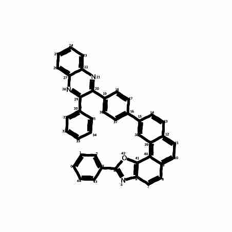 c1ccc(-c2nc3ccc4ccc5ccc(-c6ccc(-c7nc8ccccc8nc7-c7ccccc7)cc6)cc5c4c3o2)cc1